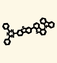 c1ccc(-c2nc(-c3ccccc3)nc(-c3ccc4c(c3)sc3cc(-c5cccc6c5sc5cccc(-n7c8ccccc8c8ccccc87)c56)ccc34)n2)cc1